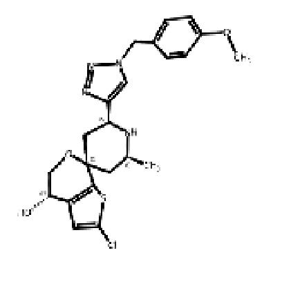 COc1ccc(Cn2cc([C@@H]3C[C@]4(C[C@H](C)N3)OC[C@@H](O)c3cc(Cl)sc34)nn2)cc1